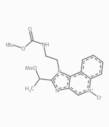 COC(C)c1nc2c[n+]([O-])c3ccccc3c2n1CCNC(=O)OC(C)(C)C